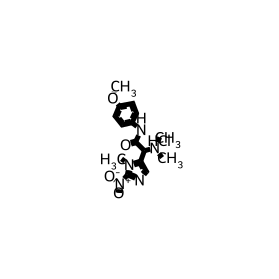 COc1ccc(NC(=O)C(c2cnc([N+](=O)[O-])n2C)N(C)C)cc1.Cl